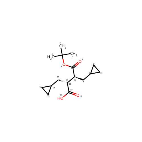 CC(C)(C)OC(=O)[C@@H](CC1CC1)[C@@H](CC1CC1)C(=O)O